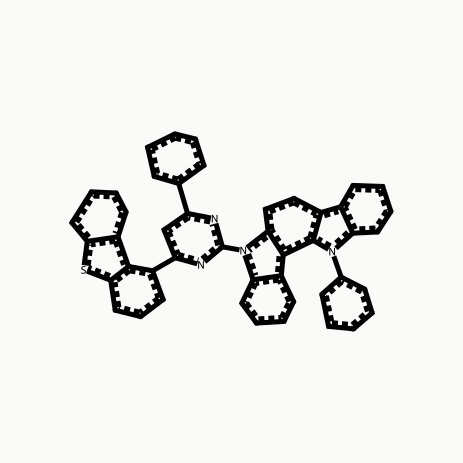 c1ccc(-c2cc(-c3cccc4sc5ccccc5c34)nc(-n3c4ccccc4c4c3ccc3c5ccccc5n(-c5ccccc5)c34)n2)cc1